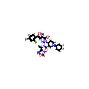 CC(NC(=O)[C@H]1CN(C2CCCCC2)CC[C@@H]1NC(=O)c1cc(-c2ccc(F)cc2F)on1)c1ncon1